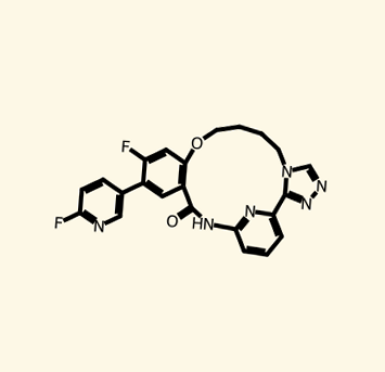 O=C1Nc2cccc(n2)-c2nncn2CCCCOc2cc(F)c(-c3ccc(F)nc3)cc21